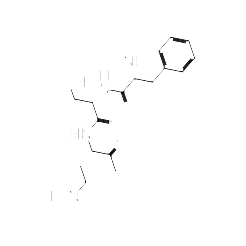 CC(=O)[C@H](CCN)NC(=O)[C@@H](NC(=O)[C@H](N)Cc1ccccc1)[C@H](C)O